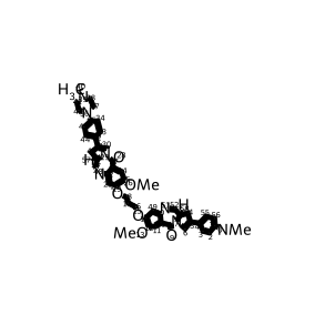 CNc1ccc(C2=CN3C(=O)c4cc(OC)c(OCCCOc5cc6c(cc5OC)C(=O)N5C=C(c7ccc(N8CCN(C)CC8)cc7)C[C@H]5C=N6)cc4N=C[C@@H]3C2)cc1